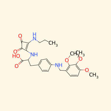 CCCNc1c(NC(Cc2ccc(NCc3ccc(OC)c(OC)c3OC)cc2)C(=O)O)c(=O)c1=O